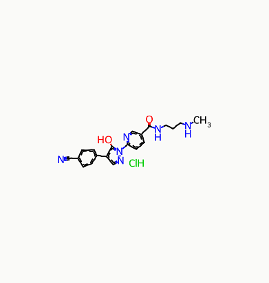 CNCCCNC(=O)c1ccc(-n2ncc(-c3ccc(C#N)cc3)c2O)nc1.Cl